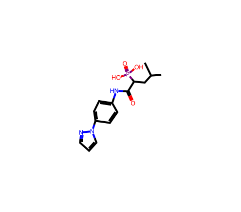 CC(C)CC(C(=O)Nc1ccc(-n2cccn2)cc1)P(=O)(O)O